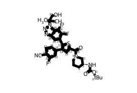 CC(C)(C)OC(=O)N[C@@H]1CCCN(C(=O)c2cc(-c3ccc(C#N)c(F)c3)c(-c3cc4nnn(C(C)(C)CO)c4c(F)c3F)s2)C1